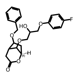 O=C1CC2C(OCc3ccccc3)C[C@@H](O1)C2OCC(O)COc1ccc(F)cc1